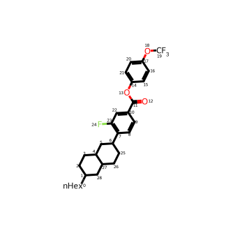 CCCCCCC1CCC2CC(c3ccc(C(=O)Oc4ccc(OC(F)(F)F)cc4)cc3F)CCC2C1